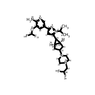 CC(C)n1nc(-c2cnc(N)c(OC(F)F)c2)cc1C1[C@H]2CC(N3CCN(CC(F)F)CC3)C[C@@H]12